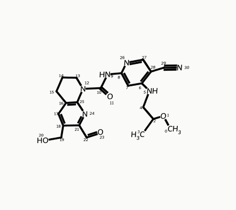 COC(C)CNc1cc(NC(=O)N2CCCc3cc(CO)c(C=O)nc32)ncc1C#N